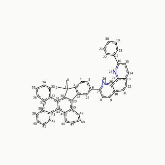 CC1(C)c2ccc(-c3ccc4ccc5ccc(-c6ccccc6)nc5c4n3)cc2-c2c1c1c3ccccc3c3ccccc3c1c1ccccc21